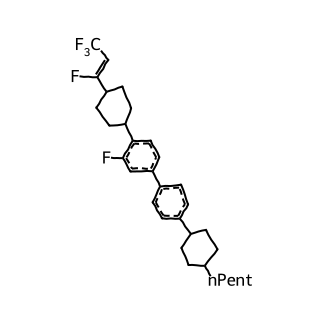 CCCCCC1CCC(c2ccc(-c3ccc(C4CCC(/C(F)=C/C(F)(F)F)CC4)c(F)c3)cc2)CC1